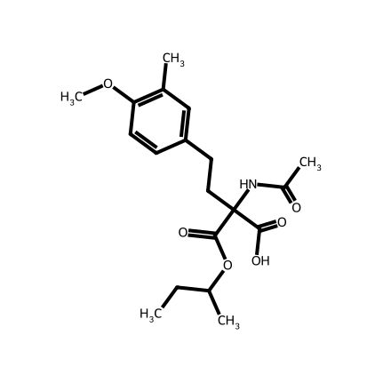 CCC(C)OC(=O)C(CCc1ccc(OC)c(C)c1)(NC(C)=O)C(=O)O